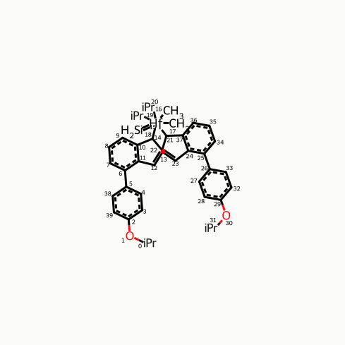 CC(C)Oc1ccc(-c2cccc3c2C=C[CH]3[Hf]([CH3])([CH3])(=[SiH2])([CH](C)C)([CH](C)C)[CH]2C=Cc3c(-c4ccc(OC(C)C)cc4)cccc32)cc1